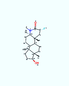 CN1C(=O)[C@H](F)C[C@]2(C)C3CC[C@]4(C)[C@@H](O)CC[C@H]4C3CC[C@@H]12